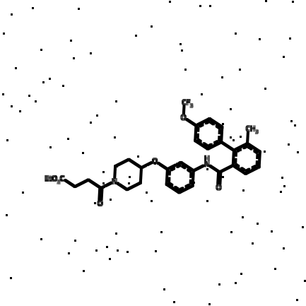 CCOC(=O)CCC(=O)N1CCC(Oc2cccc(NC(=O)c3cccc(C)c3-c3ccc(OC(F)(F)F)cc3)c2)CC1